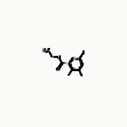 CCOC(=O)c1cc(I)cc(I)c1I